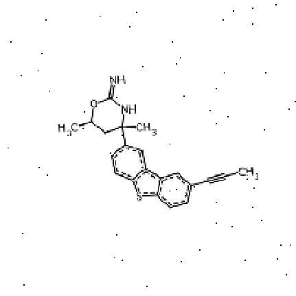 CC#Cc1ccc2sc3ccc([C@]4(C)C[C@@H](C)OC(=N)N4)cc3c2c1